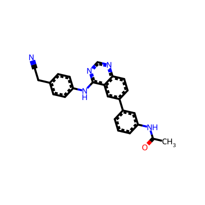 CC(=O)Nc1cccc(-c2ccc3ncnc(Nc4ccc(CC#N)cc4)c3c2)c1